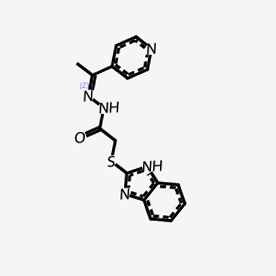 C/C(=N/NC(=O)CSc1nc2ccccc2[nH]1)c1ccncc1